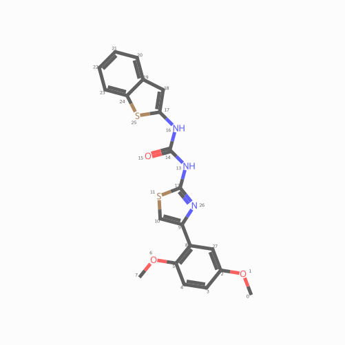 COc1ccc(OC)c(-c2csc(NC(=O)Nc3cc4ccccc4s3)n2)c1